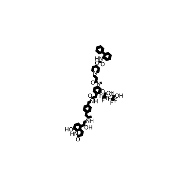 CC(Cc1ccc(CNC(=O)Cc2ccc(N(C)C(=O)CCN3CCC(OC(=O)Nc4ccccc4-c4ccccc4)CC3)cc2)cc1)NC[C@H](O)c1ccc(O)c2[nH]c(=O)ccc12.O=C(O)C(F)(F)F.O=C(O)C(F)(F)F